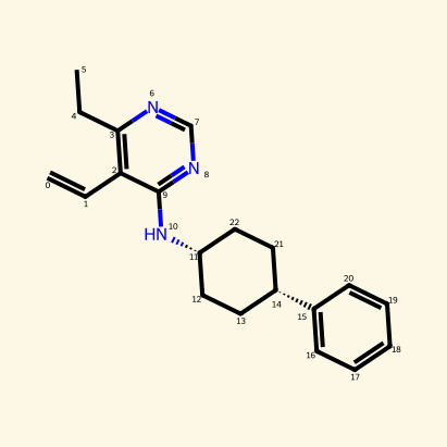 C=Cc1c(CC)ncnc1N[C@H]1CC[C@@H](c2ccccc2)CC1